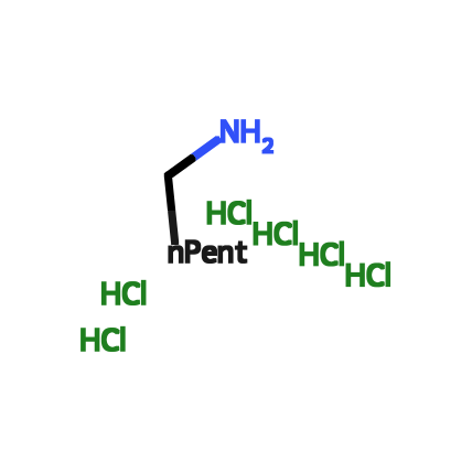 CCCCCCN.Cl.Cl.Cl.Cl.Cl.Cl